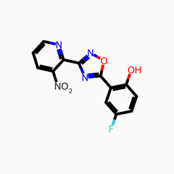 O=[N+]([O-])c1cccnc1-c1noc(-c2cc(F)ccc2O)n1